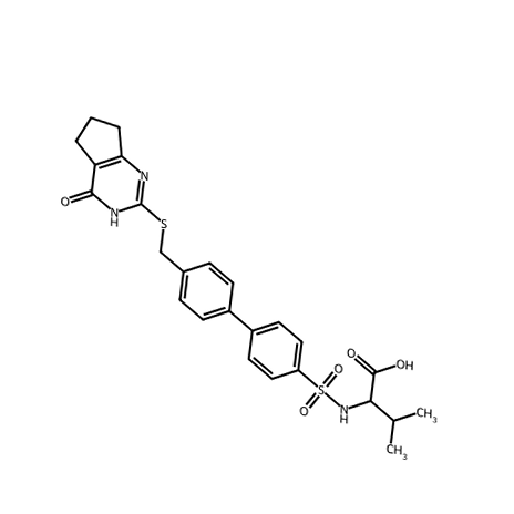 CC(C)C(NS(=O)(=O)c1ccc(-c2ccc(CSc3nc4c(c(=O)[nH]3)CCC4)cc2)cc1)C(=O)O